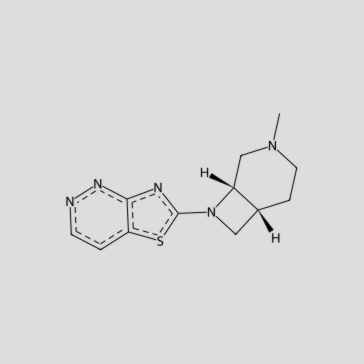 CN1CC[C@@H]2CN(c3nc4nnccc4s3)[C@@H]2C1